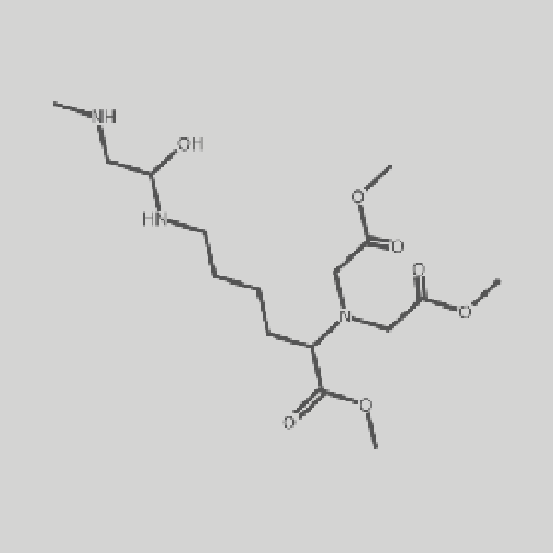 CNCC(O)NCCCCC(C(=O)OC)N(CC(=O)OC)CC(=O)OC